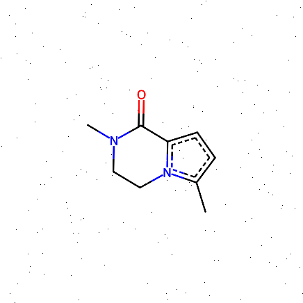 Cc1ccc2n1CCN(C)C2=O